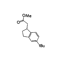 COC(=O)CC1CCc2cc(C(C)(C)C)ccc21